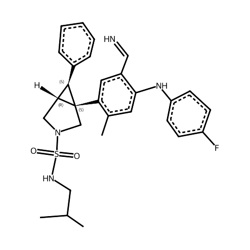 Cc1cc(Nc2ccc(F)cc2)c(C=N)cc1[C@@]12CN(S(=O)(=O)NCC(C)C)C[C@@H]1[C@H]2c1ccccc1